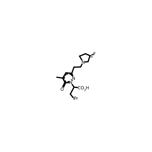 Cc1cc(CCN2CC[C@@H](F)C2)nn(C(CC(C)C)C(=O)O)c1=O